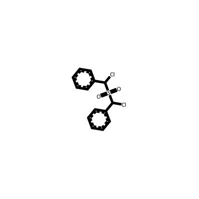 O=S(=O)(C(Cl)c1ccccc1)C(Cl)c1ccccc1